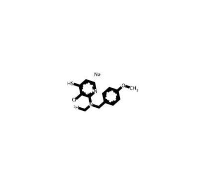 [2H]CN(Cc1ccc(OC)cc1)c1nccc(S)c1Cl.[Na]